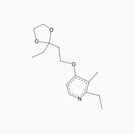 CCc1nccc(OCCC2(CC)OCCO2)c1C